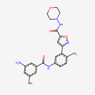 Cc1ccc(NC(=O)c2cc(N)cc(C(C)(C)C)c2)cc1-c1cc(C(=O)NN2CCOCC2)on1